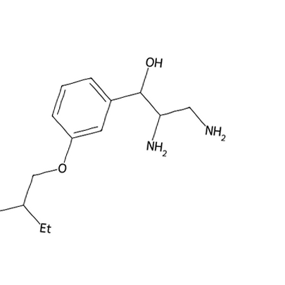 CCC(CC)COc1cccc(C(O)C(N)CN)c1